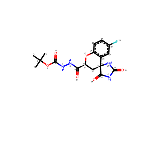 CC(C)(C)OC(=O)NNC(=O)[C@@H]1C[C@]2(NC(=O)NC2=O)c2cc(F)ccc2O1